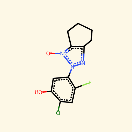 [O-][n+]1c2c(nn1-c1cc(O)c(Cl)cc1F)CCCC2